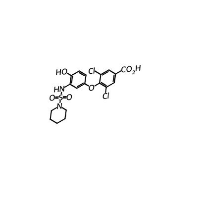 O=C(O)c1cc(Cl)c(Oc2ccc(O)c(NS(=O)(=O)N3CCCCC3)c2)c(Cl)c1